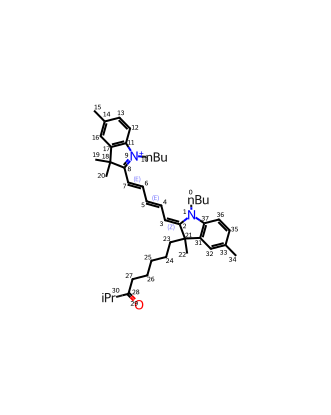 CCCCN1\C(=C/C=C/C=C/C2=[N+](CCCC)c3ccc(C)cc3C2(C)C)C(C)(CCCCCC(=O)C(C)C)c2cc(C)ccc21